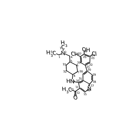 CCN(C)CC1CCC(Nc2c(C(C)=O)cnc3ccc(-c4cc(Cl)c(O)c(Cl)c4)cc23)CC1